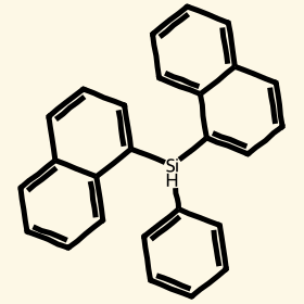 c1ccc([SiH](c2cccc3ccccc23)c2cccc3ccccc23)cc1